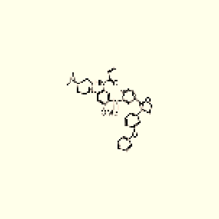 C=CC(=O)Nc1cc(Nc2cc(N3OCC[C@@H]3c3cccc(Oc4ccccc4)c3)ncn2)c(OC)cc1N1CCC(N(C)C)CC1